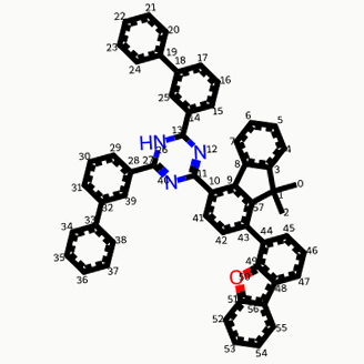 CC1(C)c2ccccc2-c2c(C3=NC(c4cccc(-c5ccccc5)c4)NC(c4cccc(-c5ccccc5)c4)=N3)ccc(-c3cccc4c3oc3ccccc34)c21